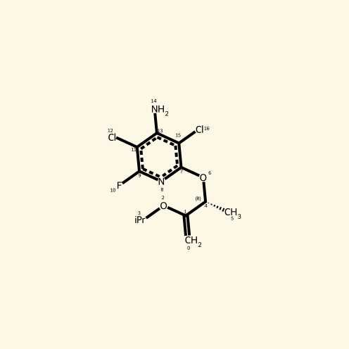 C=C(OC(C)C)[C@@H](C)Oc1nc(F)c(Cl)c(N)c1Cl